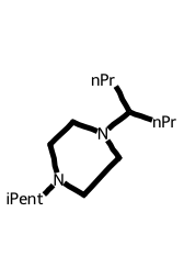 CCCC(C)N1CCN(C(CCC)CCC)CC1